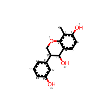 Cc1c(O)ccc2c1OCC(c1cccc(O)c1)C2O